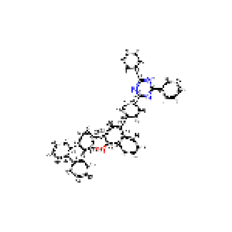 c1ccc(-c2nc(-c3ccccc3)nc(-c3ccc(-c4cc5c6ccc(-c7ccccc7-c7ccccc7)cc6oc5c5ccccc45)cc3)n2)cc1